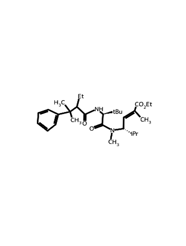 CCOC(=O)C(C)=C[C@H](C(C)C)N(C)C(=O)[C@@H](NC(=O)C(CC)C(C)(C)c1ccccc1)C(C)(C)C